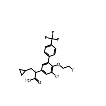 O=C(O)C(CC1CC1)c1cc(Cl)c(OCCF)c(-c2ccc(C(F)(F)F)cc2)c1